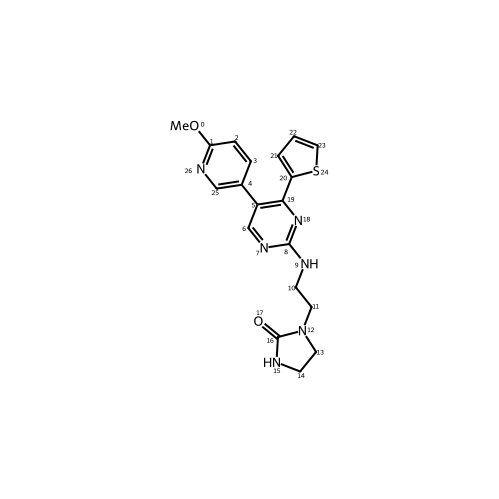 COc1ccc(-c2cnc(NCCN3CCNC3=O)nc2-c2cccs2)cn1